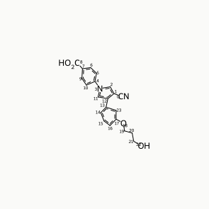 N#Cc1cn(-c2ccc(C(=O)O)cc2)cc1-c1cccc(OCCCO)c1